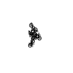 COCCOc1cc2ncnc(Nc3ccc(OCC4CCOC4)cc3C3=CC(=O)C=CC3=O)c2cc1OC